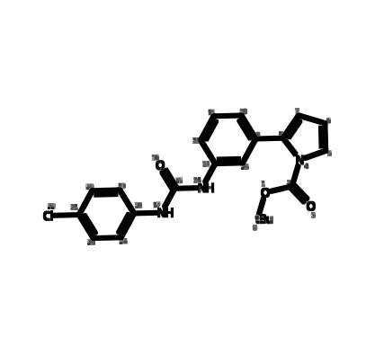 CC(C)(C)OC(=O)n1cccc1-c1cccc(NC(=O)Nc2ccc(Cl)cc2)c1